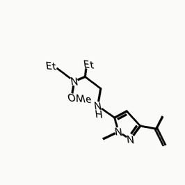 C=C(C)c1cc(NCC(CC)N(CC)OC)n(C)n1